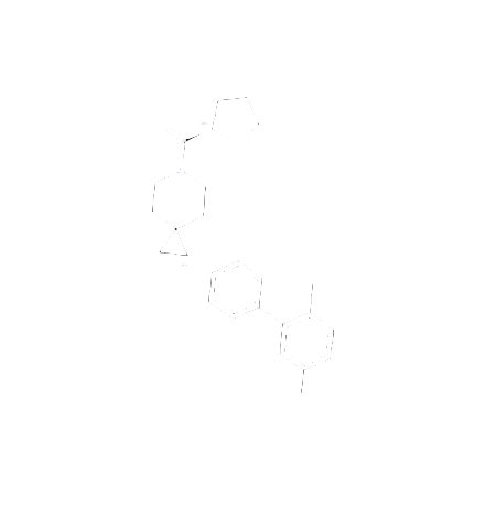 Cc1ccc(C(=O)O)cc1-c1ccc([C@@H]2CC23CCN(C(=O)[C@H]2CCCO2)CC3)cc1